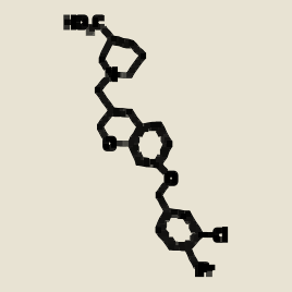 CC(C)c1ccc(COc2ccc3c(c2)OCC(CN2CCC=C(C(=O)O)C2)=C3)cc1Cl